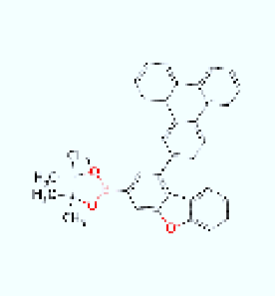 CC1(C)OB(c2cc(-c3ccc4c5ccccc5c5ccccc5c4c3)c3c(c2)oc2ccccc23)OC1(C)C